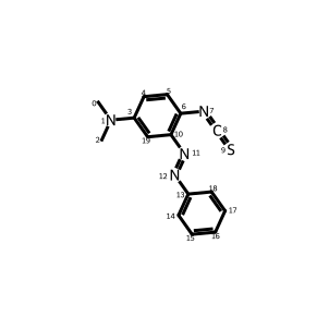 CN(C)c1ccc(N=C=S)c(N=Nc2ccccc2)c1